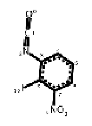 O=C=Nc1cccc([N+](=O)[O-])c1I